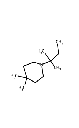 CCC(C)(C)N1CCC(C)(C)CC1